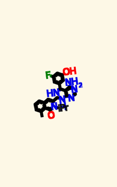 Cc1cccc2cc(CNc3ncnc(N)c3C(=N)c3cc(O)cc(F)c3)n(C(C)C)c(=O)c12